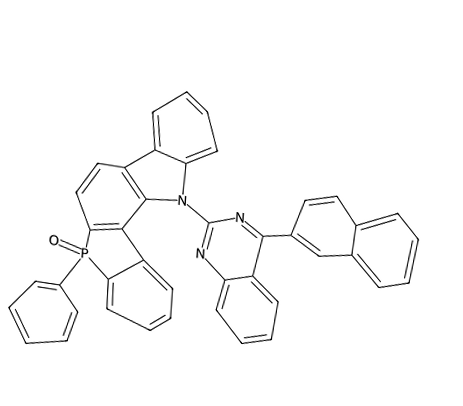 O=P1(c2ccccc2)c2ccccc2-c2c1ccc1c3ccccc3n(-c3nc(-c4ccc5ccccc5c4)c4ccccc4n3)c21